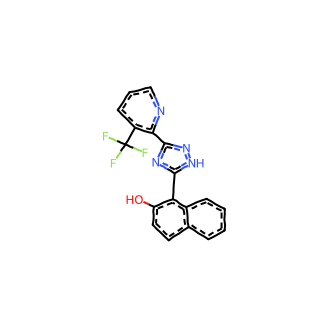 Oc1ccc2ccccc2c1-c1nc(-c2ncccc2C(F)(F)F)n[nH]1